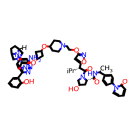 CC(C)[C@@H](C(=O)N1C[C@H](O)C[C@H]1C(=O)N[C@@H](C)c1ccc(-n2ccccc2=O)cc1)c1cc(OCCN2CCC(OC3CC(Oc4cc(N5C6CC[C@@H]5CN(c5cc(-c7ccccc7O)nnc5N)C6)ccn4)C3)CC2)no1